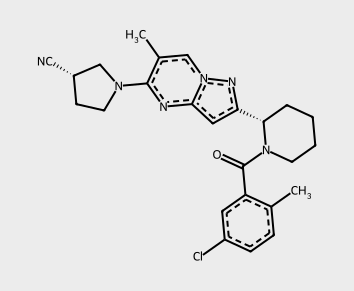 Cc1ccc(Cl)cc1C(=O)N1CCCC[C@H]1c1cc2nc(N3CC[C@H](C#N)C3)c(C)cn2n1